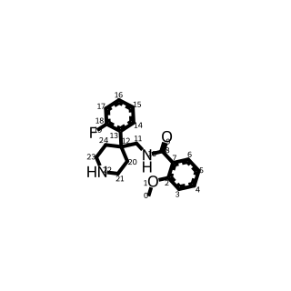 COc1ccccc1C(=O)NCC1(c2ccccc2F)CCNCC1